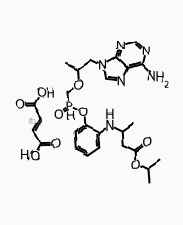 CC(CC(=O)OC(C)C)Nc1ccccc1O[PH](=O)COC(C)Cn1cnc2c(N)ncnc21.O=C(O)/C=C/C(=O)O